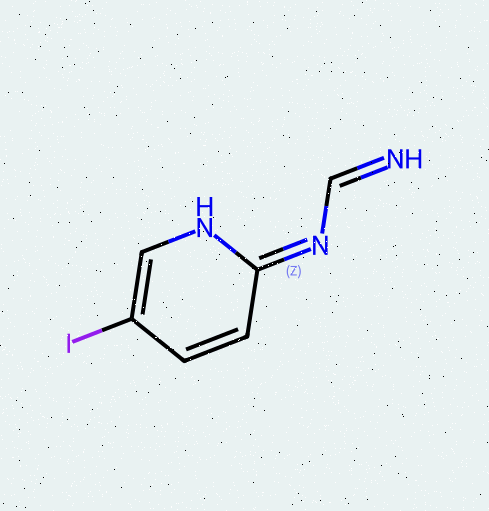 N=C/N=c1/ccc(I)c[nH]1